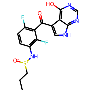 CCC[S+]([O-])Nc1ccc(F)c(C(=O)c2c[nH]c3ncnc(O)c23)c1F